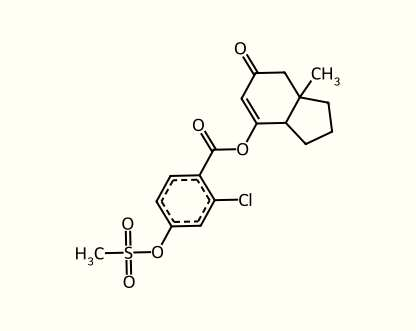 CC12CCCC1C(OC(=O)c1ccc(OS(C)(=O)=O)cc1Cl)=CC(=O)C2